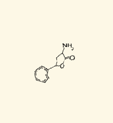 NC1CC(c2ccccc2)OC1=O